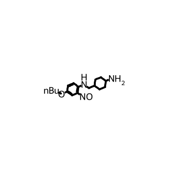 CCCCOc1ccc(NCC2CCC(N)CC2)c(N=O)c1